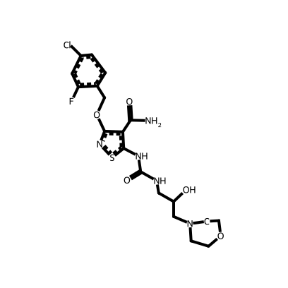 NC(=O)c1c(OCc2ccc(Cl)cc2F)nsc1NC(=O)NCC(O)CN1CCOCC1